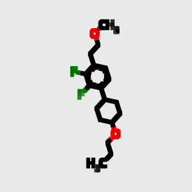 CCCOC1CCC(c2ccc(CCOC)c(F)c2F)CC1